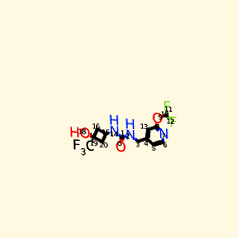 O=C(NCc1ccnc(OC(F)F)c1)N[C@H]1C[C@](O)(C(F)(F)F)C1